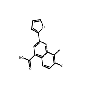 Cc1c(Cl)ccc2c(C(=O)O)cc(-c3ccco3)nc12